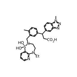 CCN1CCN(Cc2cc(C(CC(=O)O)c3ccc4c(c3)nnn4C)ccc2C)S(O)(O)c2cccnc21